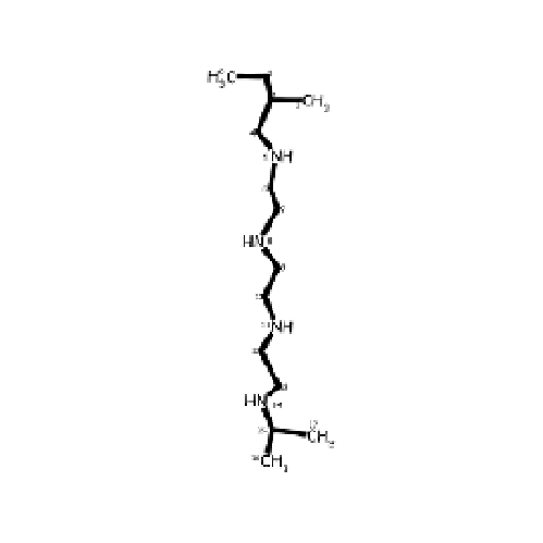 CCC(C)CNCCNCCNCCNC(C)C